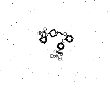 CCN(CC)S(=O)(=O)c1ccc(Cc2ccccc2OCCN2CCC(n3c(=O)[nH]c4ccccc43)CC2)cc1